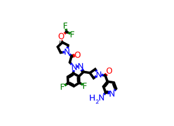 Nc1cc(C(=O)N2CC(c3nn(CC(=O)N4CC[C@H](OC(F)F)C4)c4cc(F)cc(F)c34)C2)ccn1